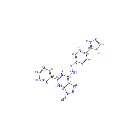 CCn1cnc2c(NCc3ccc(-c4nccs4)nc3)nc(-c3cccnc3)nc21